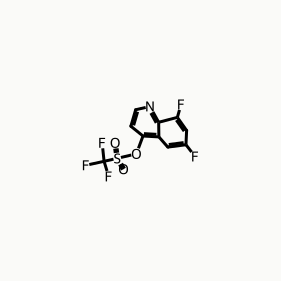 O=S(=O)(Oc1ccnc2c(F)cc(F)cc12)C(F)(F)F